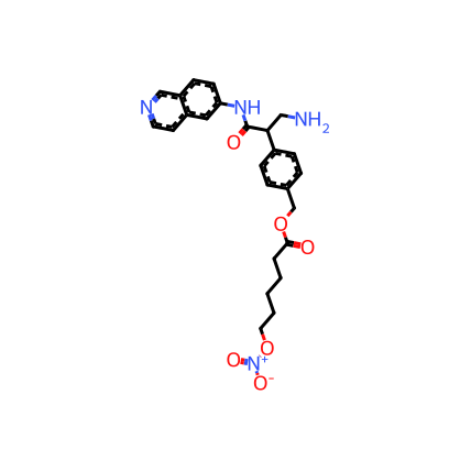 NCC(C(=O)Nc1ccc2cnccc2c1)c1ccc(COC(=O)CCCCCO[N+](=O)[O-])cc1